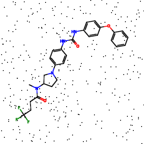 CN(C(=O)CCC(F)(F)F)C1CCN(c2ccc(NC(=O)Nc3ccc(Oc4ccccc4)cc3)cc2)C1